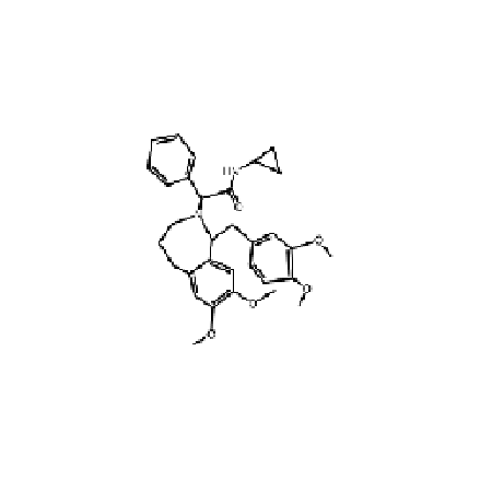 COc1ccc(CC2c3cc(OC)c(OC)cc3CCCN2C(C(=O)NC2CC2)c2ccccc2)cc1OC